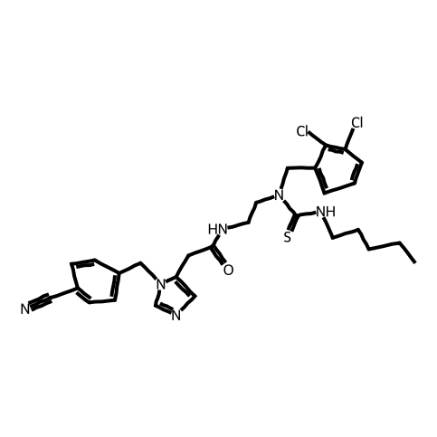 CCCCCNC(=S)N(CCNC(=O)Cc1cncn1Cc1ccc(C#N)cc1)Cc1cccc(Cl)c1Cl